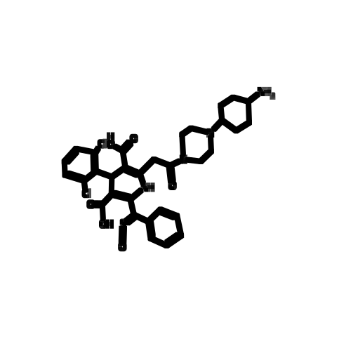 NC1CCC(N2CCN(C(=O)CC3=C(C(=O)O)C(c4c(Cl)cccc4Cl)C(C(=O)O)=C(C(=S=O)c4ccccc4)N3)CC2)CC1